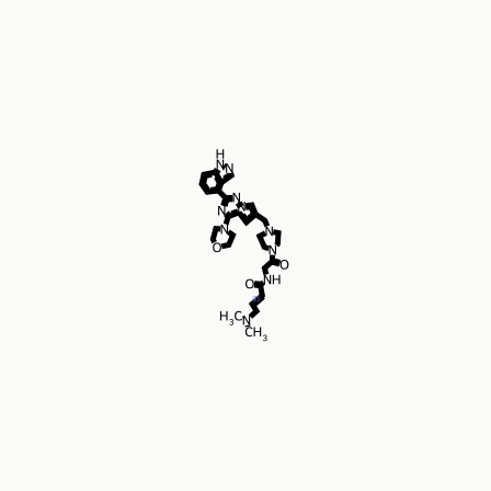 CN(C)C/C=C/C(=O)NCC(=O)N1CCN(Cc2cc3c(N4CCOCC4)nc(-c4cccc5[nH]ncc45)nn3c2)CC1